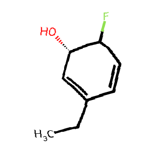 CCC1=C[C@H](O)C(F)C=C1